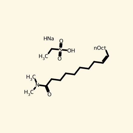 CCCCCCCC/C=C\CCCCCCCC(=O)N(C)C.CCS(=O)(=O)O.[NaH]